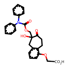 O=C(O)COc1cccc2c1CCC(=O)C(O)(COC(=O)N(c1ccccc1)c1ccccc1)C2